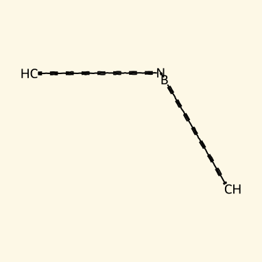 C#CC#CC#CC#CC#CC#CC#CC#C/B=N/C#CC#CC#CC#CC#CC#CC#CC#C